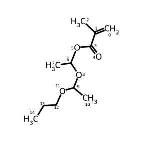 C=C(C)C(=O)OC(C)OC(C)OCCC